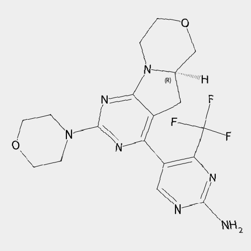 Nc1ncc(-c2nc(N3CCOCC3)nc3c2C[C@@H]2COCCN32)c(C(F)(F)F)n1